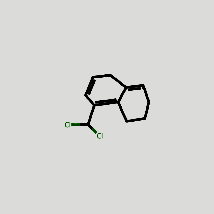 ClC(Cl)C1=C2CCCC=C2CC=C1